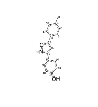 Cc1ccc(-c2cc(-c3ccc(O)cc3)no2)cc1